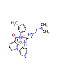 Cc1cccc(NC(=O)c2cccnc2S(C)(NC(=O)CNCCN(C)C)c2ccncc2)c1